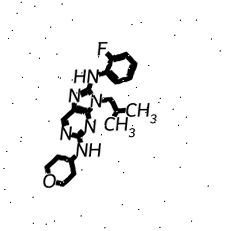 CC(C)Cn1c(Nc2ccccc2F)nc2cnc(NC3CCOCC3)nc21